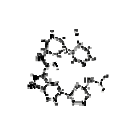 CC(C)Nc1cncc(-c2cc3c(-c4nc5c(-c6ccccc6F)cncc5[nH]4)n[nH]c3cn2)c1